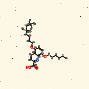 CCCCCCOc1ccc(OCC=CCC(C)(C)CC(C)(C)C)c2ccc(C(=O)O)nc12